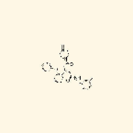 Cc1cccc(CNC(=O)CN(CC(=O)N2CCNCC2)c2ccccc2Oc2ccccc2)c1